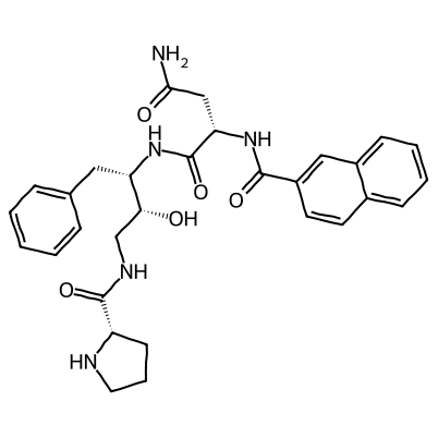 NC(=O)C[C@H](NC(=O)c1ccc2ccccc2c1)C(=O)N[C@@H](Cc1ccccc1)[C@H](O)CNC(=O)[C@@H]1CCCN1